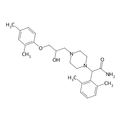 Cc1ccc(OCC(O)CN2CCN(C(C(N)=O)c3c(C)cccc3C)CC2)c(C)c1